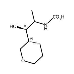 CC(NC(=O)O)[C@H](O)[C@@H]1CCCOC1